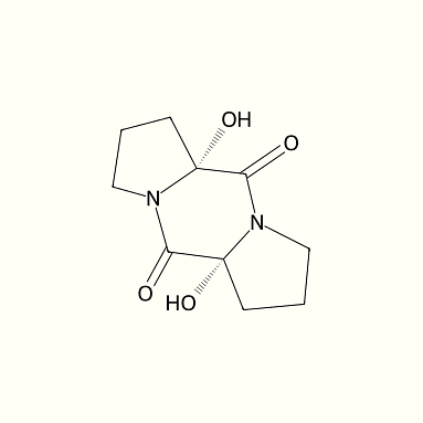 O=C1N2CCC[C@@]2(O)C(=O)N2CCC[C@@]12O